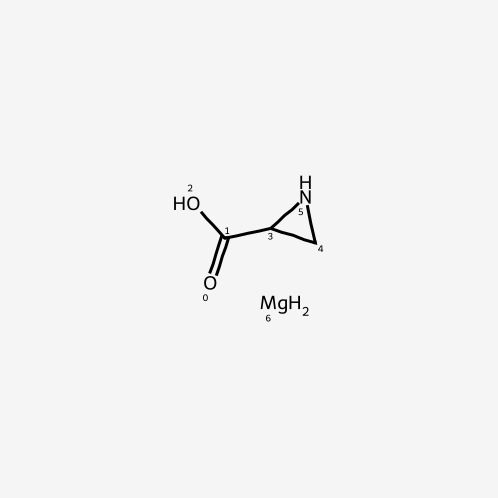 O=C(O)C1CN1.[MgH2]